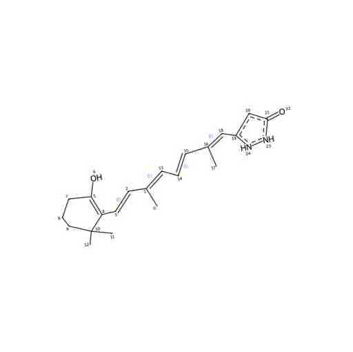 CC(/C=C/C1=C(O)CCCC1(C)C)=C\C=C\C(C)=C\c1cc(=O)[nH][nH]1